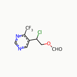 O=COCC(Cl)c1cncnc1C(F)(F)F